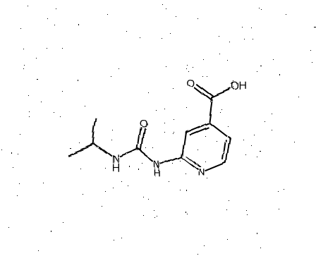 CC(C)NC(=O)Nc1cc(C(=O)O)ccn1